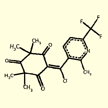 Cc1nc(C(F)(F)F)ccc1C(Cl)=C1C(=O)C(C)(C)C(=O)C(C)(C)C1=O